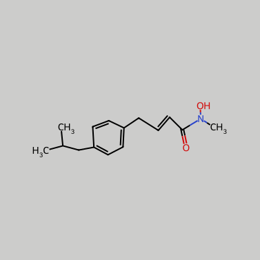 CC(C)Cc1ccc(CC=CC(=O)N(C)O)cc1